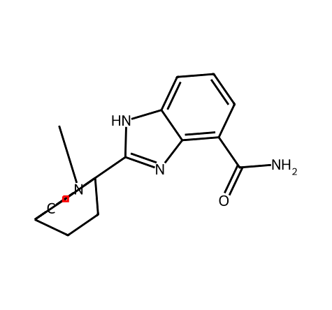 CN1CC2CCC1(c1nc3c(C(N)=O)cccc3[nH]1)CC2